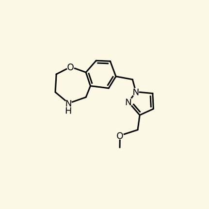 COCc1ccn(Cc2ccc3c(c2)CNCCO3)n1